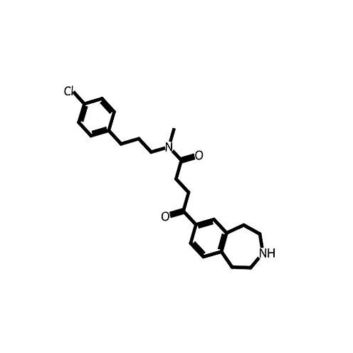 CN(CCCc1ccc(Cl)cc1)C(=O)CCC(=O)c1ccc2c(c1)CCNCC2